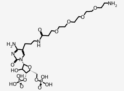 NCCOCCOCCOCCOCCC(=O)NCCCc1cn([C@@H]2O[C@H](COP(=O)(O)O)[C@H](OP(=O)(O)O)C2O)c(=O)nc1N